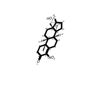 C[C@]12CCC(=O)C([N+](=O)[O-])=C1CC[C@@H]1[C@H]2CC[C@]2(C)C(C(=O)O)CC[C@@H]12